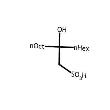 CCCCCCCCC(O)(CCCCCC)CS(=O)(=O)O